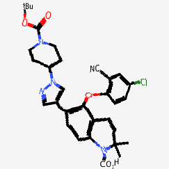 CC(C)(C)OC(=O)N1CCC(n2cc(-c3ccc4c(c3Oc3ccc(Cl)cc3C#N)CCC(C)(C)N4C(=O)O)cn2)CC1